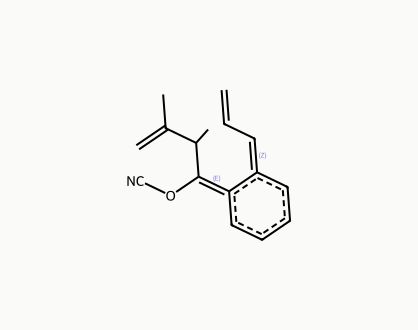 C=C/C=c1/cccc/c1=C(\OC#N)C(C)C(=C)C